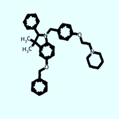 CC1(C)c2cc(OCc3ccccc3)ccc2N(Cc2ccc(OCCN3CCCCC3)cc2)C1c1ccccc1